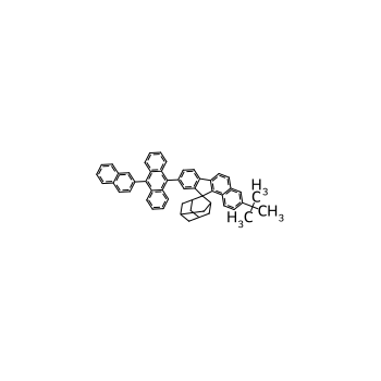 CC(C)(C)c1ccc2c3c(ccc2c1)-c1ccc(-c2c4ccccc4c(-c4ccc5ccccc5c4)c4ccccc24)cc1C31C2CC3CC(C2)CC1C3